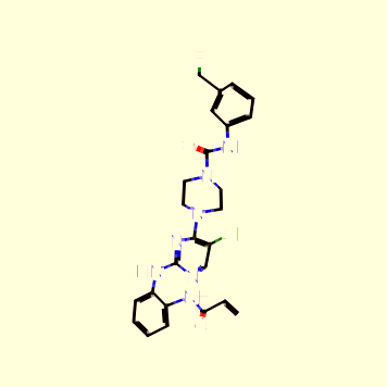 C=CC(=O)Nc1ccccc1Nc1ncc(Cl)c(N2CCN(C(=O)Nc3cccc(CF)c3)CC2)n1